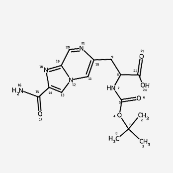 CC(C)(C)OC(=O)NC(Cc1cn2cc(C(N)=O)nc2cn1)C(=O)O